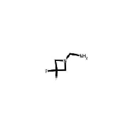 NCN1CC(F)(F)C1